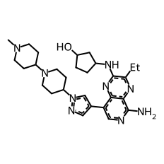 CCc1nc2c(N)ncc(-c3cnn(C4CCN(C5CCN(C)CC5)CC4)c3)c2nc1NC1CCC(O)C1